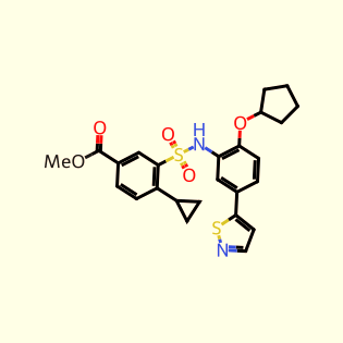 COC(=O)c1ccc(C2CC2)c(S(=O)(=O)Nc2cc(-c3ccns3)ccc2OC2CCCC2)c1